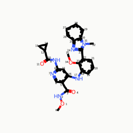 CONC(=O)c1cnc(NC(=O)C2CC2)cc1Nc1cccc(-c2nc3ccccc3n2C)c1OC